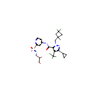 CC1(Cn2nc(C3CC3)c(C(F)(F)F)c2C(=O)Nc2ccnc(S(C)(=O)=NCC(O)CO)c2)CC(F)(F)C1